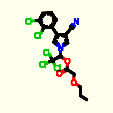 CCCOCC(=O)OC(n1cc(C#N)c(-c2cccc(Cl)c2Cl)c1)C(Cl)(Cl)Cl